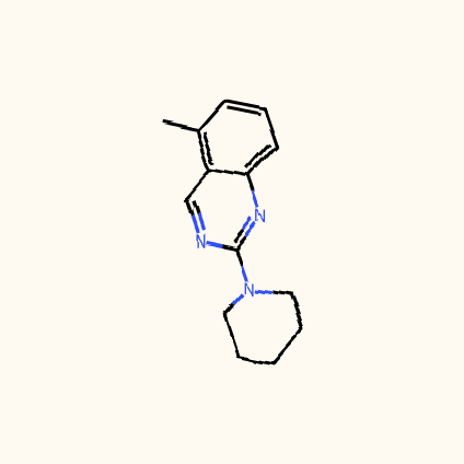 Cc1cccc2nc(N3CCCCC3)ncc12